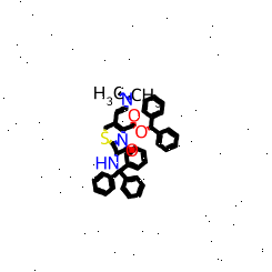 CN(C)C=CC1=C(C(=O)OC(c2ccccc2)c2ccccc2)N2C(=O)C(NC(c3ccccc3)(c3ccccc3)c3ccccc3)C2SC1